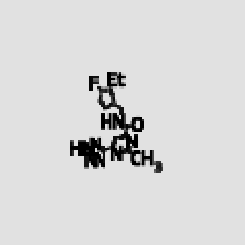 CCc1cc(CNC(=O)c2cc(-c3nn[nH]n3)nc(C)n2)ccc1F